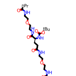 CCCC(=O)NCCOCCNC(=O)CC[C@H](NC(=O)OC(C)(C)C)C(=O)NCCOCCNC(=O)CCC